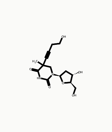 CC1(C#CCCO)CN([C@H]2C[C@H](O)[C@@H](CO)O2)C(=O)NC1=O